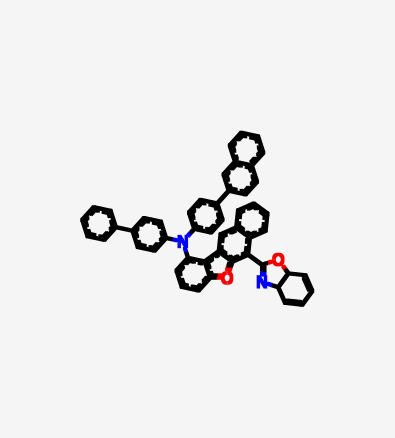 C1=CC2N=C(c3c4ccccc4cc4c3oc3cccc(N(c5ccc(-c6ccccc6)cc5)c5ccc(-c6ccc7ccccc7c6)cc5)c34)OC2C=C1